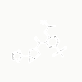 CC(Oc1ccc(S(C)(=O)=O)cc1C(=O)N1CC2CC2(c2ncco2)C1)C(F)(F)F